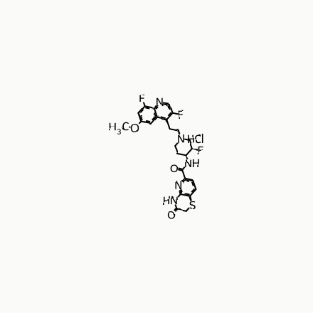 COc1cc(F)c2ncc(F)c(CCN3CC[C@H](NC(=O)c4ccc5c(n4)NC(=O)CS5)[C@H](F)C3)c2c1.Cl